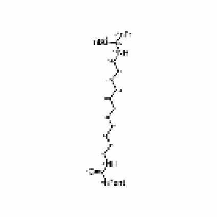 CCCCCC(=O)NCCCCCCCCCCCNC(CCC)CCCC